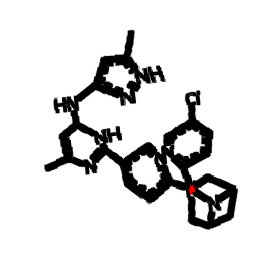 CC1=CC(Nc2cc(C)[nH]n2)NC(c2ccc(N3CC4CC(C3)N4Cc3ccc(Cl)cn3)nc2)=N1